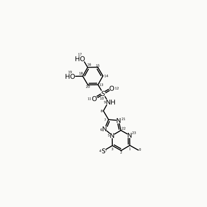 Cc1cc([S])n2nc(CNS(=O)(=O)c3ccc(O)c(O)c3)nc2n1